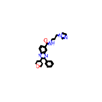 O=C(NCCCn1ccnc1)c1ccc2nc(C3=CCOCC3)c(-c3ccccc3)nc2c1